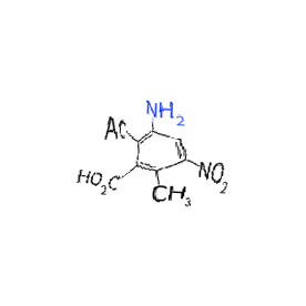 CC(=O)c1c(N)cc([N+](=O)[O-])c(C)c1C(=O)O